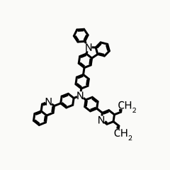 C=CC1C=NC(c2ccc(N(c3ccc(-c4ccc5c(c4)c4ccccc4n5-c4ccccc4)cc3)C3C=CC(c4cc5ccccc5cn4)=CC3)cc2)=CC1C=C